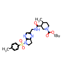 Cc1ccc(S(=O)(=O)N2CCc3nc(CNC(=O)C4CN(C(=O)OC(C)(C)C)CCC4C)cnc32)cc1